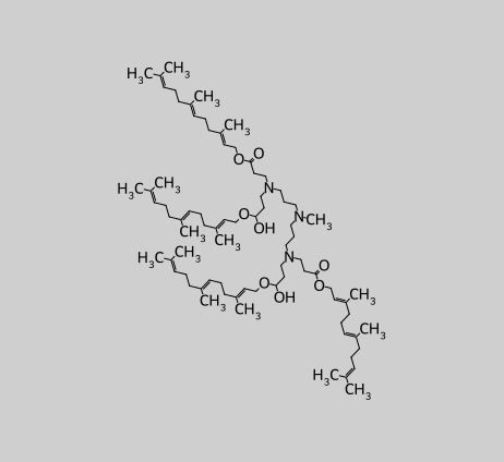 CC(C)=CCC/C(C)=C/CC/C(C)=C/COC(=O)CCN(CCCN(C)CCCN(CCC(=O)OC/C=C(\C)CC/C=C(\C)CCC=C(C)C)CCC(O)OC/C=C(\C)CC/C=C(\C)CCC=C(C)C)CCC(O)OC/C=C(\C)CC/C=C(\C)CCC=C(C)C